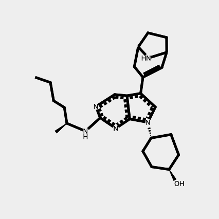 CCCC[C@H](C)Nc1ncc2c(C3=CC4CCC(C3)N4)cn([C@H]3CC[C@H](O)CC3)c2n1